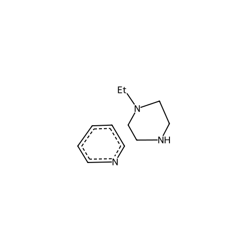 CCN1CCNCC1.c1ccncc1